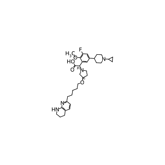 COc1c(F)cc(C2CCN(C3CC3)CC2)cc1[C@H](C(=O)O)N1CC[C@@H](OCCCCCc2ccc3c(n2)NCCC3)C1